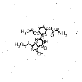 CCCc1nc(C)c2c(=O)[nH]c(-c3cc(OC(=O)CN)ccc3OCC)nn12